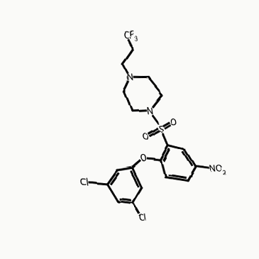 O=[N+]([O-])c1ccc(Oc2cc(Cl)cc(Cl)c2)c(S(=O)(=O)N2CCN(CCC(F)(F)F)CC2)c1